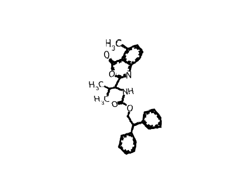 Cc1cccc2nc(C(NC(=O)OCC(c3ccccc3)c3ccccc3)C(C)C)oc(=O)c12